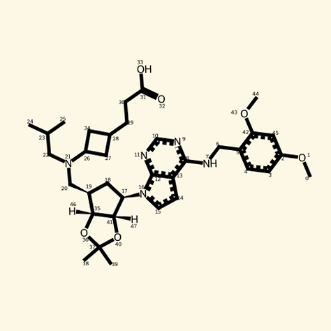 COc1ccc(CNc2ncnc3c2ccn3[C@@H]2C[C@H](CN(CC(C)C)C3CC(CCC(=O)O)C3)[C@H]3OC(C)(C)O[C@H]32)c(OC)c1